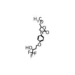 COCC1CN(c2ccc(OCCC(O)C(F)(F)F)cc2)C(=O)O1